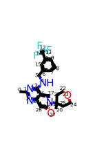 Cc1nc(NCc2cccc(C(F)(F)F)c2)c2cn(C3(C)CCOCC3)c(=O)cc2n1